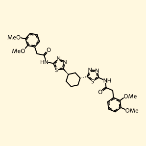 COc1cccc(CC(=O)Nc2nnc([C@@H]3CCC[C@@H](c4nnc(NC(=O)Cc5cccc(OC)c5OC)s4)C3)s2)c1OC